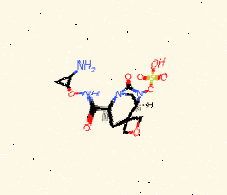 NC1CC1ONC(=O)[C@@H]1CC2(COC2)[C@H]2CN1C(=O)N2OS(=O)(=O)O